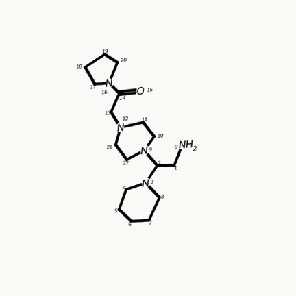 NCC(N1CCCCC1)N1CCN(CC(=O)N2CCCC2)CC1